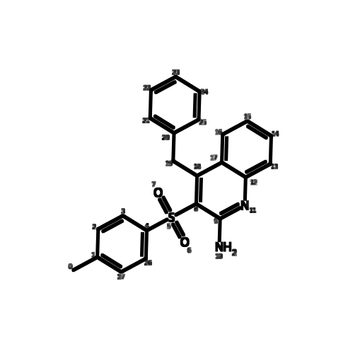 Cc1ccc(S(=O)(=O)c2c(N)nc3ccccc3c2Cc2ccccc2)cc1